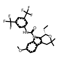 CC[C@@H]1OC(C)(C)Cc2c1n(C(=O)Nc1cc(C(F)(F)F)cc(C(F)(F)F)c1)c1cc(OC)ccc21